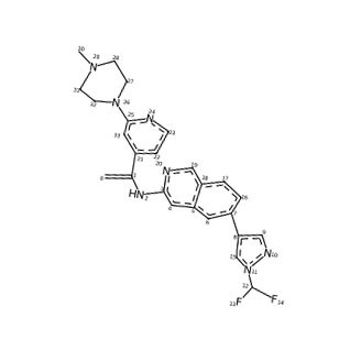 C=C(Nc1cc2cc(-c3cnn(C(F)F)c3)ccc2cn1)c1ccnc(N2CCN(C)CC2)c1